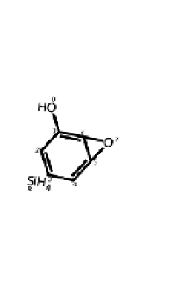 Oc1cccc2c1O2.[SiH4]